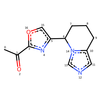 CC(=O)c1nc(C2CCCc3cncn32)co1